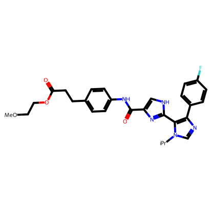 COCCOC(=O)CCc1ccc(NC(=O)c2c[nH]c(-c3c(-c4ccc(F)cc4)ncn3C(C)C)n2)cc1